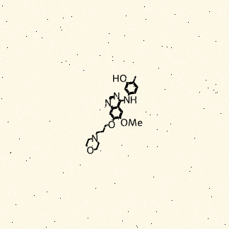 COc1cc2c(Nc3ccc(C)c(O)c3)ncnc2cc1OCCCN1CCOCC1